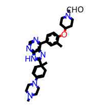 Cc1cc(-c2ncnc3[nH]c(C4(C)C=CC(N5CCN(C)CC5)=CC4)nc23)ccc1OC1CCN(C=O)CC1